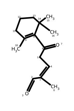 CC(C=O)=CCC(=O)C1=C(C)CCCC1(C)C